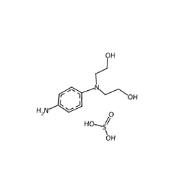 Nc1ccc(N(CCO)CCO)cc1.O=S(O)O